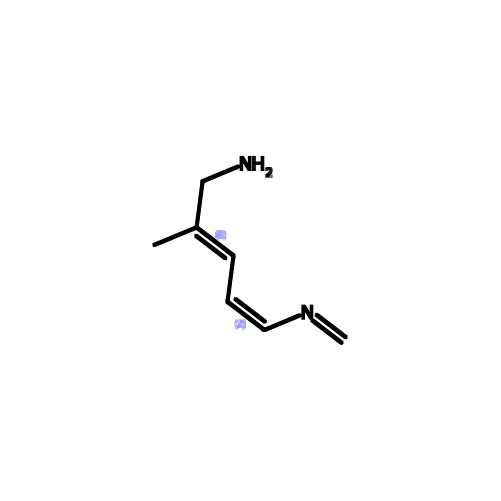 C=N/C=C\C=C(/C)CN